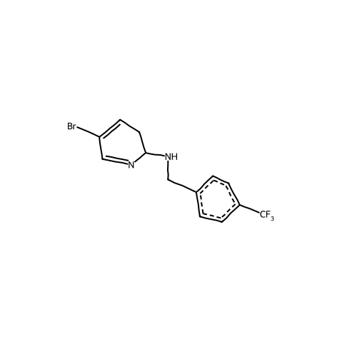 FC(F)(F)c1ccc(CNC2CC=C(Br)C=N2)cc1